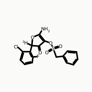 [2H]C1(c2c(F)cccc2Cl)OC(N)=C(OS(=O)(=O)Cc2ccccc2)C1=O